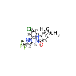 CC(C)C1CCC(C(=O)NCc2cc(C(F)(F)F)nn2-c2cccc(Cl)c2)CC1